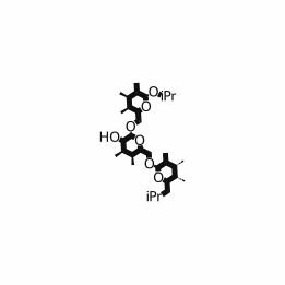 CC(C)CC1O[C@@H](OCC2O[C@@H](OCC3O[C@@H](OC(C)C)C(C)[C@H](C)[C@@H]3C)C(O)[C@H](C)[C@@H]2C)C(C)[C@H](C)[C@@H]1C